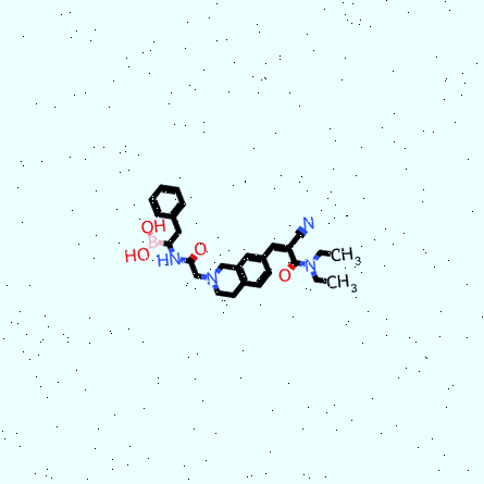 CCN(CC)C(=O)C(C#N)=Cc1ccc2c(c1)CN(CC(=O)NC(Cc1ccccc1)B(O)O)CC2